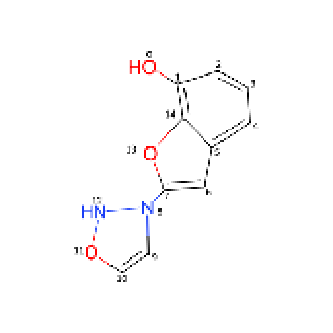 Oc1cccc2cc(N3C=CON3)oc12